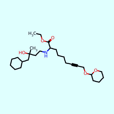 CCOC(=O)C(CCCCC#CCOC1CCCCO1)NCCC(C)(O)CC1CCCCC1